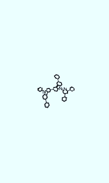 c1ccc(-c2cc(-c3ccccc3)nc(-n3c4ccc(-c5ccccc5)cc4c4cc(-c5ccc6c(c5)c5cc(-c7ccccc7)ccc5n6-c5ccccc5)ccc43)c2)cc1